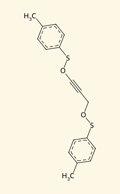 Cc1ccc(SOC#CCOSc2ccc(C)cc2)cc1